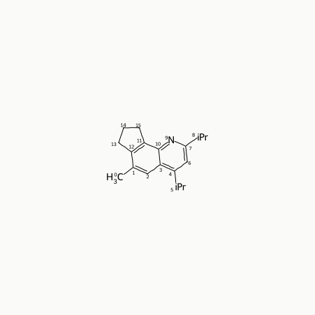 Cc1cc2c(C(C)C)cc(C(C)C)nc2c2c1CCC2